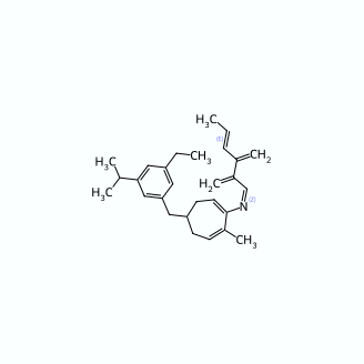 C=C(/C=N\C1=CCC(Cc2cc(CC)cc(C(C)C)c2)CC=C1C)C(=C)/C=C/C